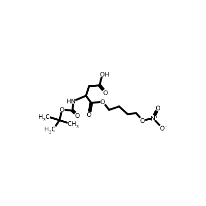 CC(C)(C)OC(=O)NC(CC(=O)O)C(=O)OCCCCO[N+](=O)[O-]